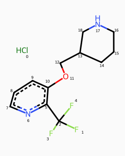 Cl.FC(F)(F)c1ncccc1OCC1CCCNC1